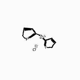 C1=C[C]([Zr+2][C]2=PCC=C2)=PC1.[Cl-].[Cl-]